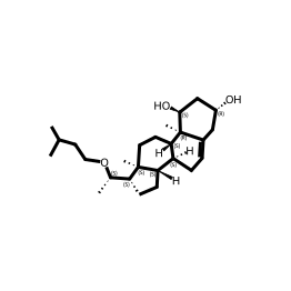 CC(C)CCO[C@@H](C)[C@H]1CC[C@H]2[C@@H]3CC=C4C[C@@H](O)C[C@H](O)[C@]4(C)[C@H]3CC[C@]12C